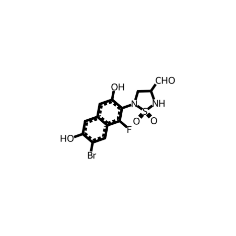 O=CC1CN(c2c(O)cc3cc(O)c(Br)cc3c2F)S(=O)(=O)N1